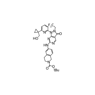 CC(C)(C)OC(=O)N1CCc2cc(Nc3ncc4c(=O)n(CC(F)(F)F)n(-c5cccc(C6(CO)CC6)n5)c4n3)ccc2C1